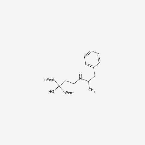 CCCCCC(O)(CCCCC)CCNC(C)Cc1ccccc1